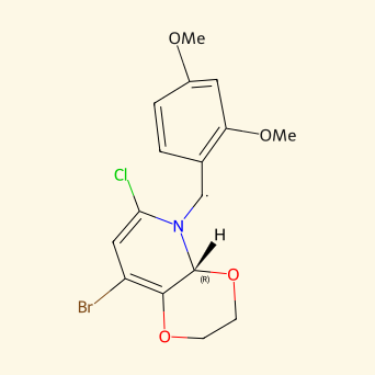 COc1ccc([CH]N2C(Cl)=CC(Br)=C3OCCO[C@H]32)c(OC)c1